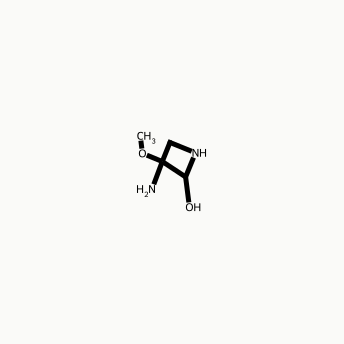 COC1(N)CNC1O